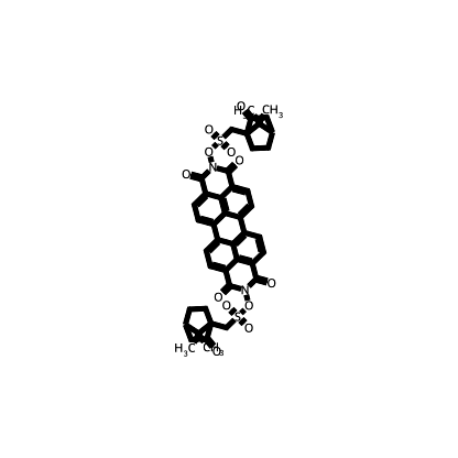 CC1(C)C2CCC1(CS(=O)(=O)ON1C(=O)c3ccc4c5ccc6c7c(ccc(c8ccc(c3c48)C1=O)c75)C(=O)N(OS(=O)(=O)CC13CCC(CC1=O)C3(C)C)C6=O)C(=O)C2